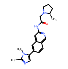 Cc1ncc(-c2ccc3cnc(NC(=O)CN4CCC[C@H]4C)cc3c2)n1C